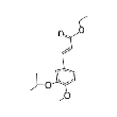 CCOC(=O)/C=C/c1ccc(OC)c(OC(C)C)c1